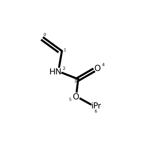 C=CNC(=O)OC(C)C